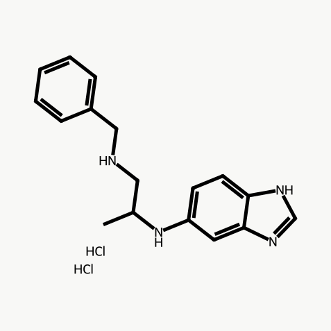 CC(CNCc1ccccc1)Nc1ccc2[nH]cnc2c1.Cl.Cl